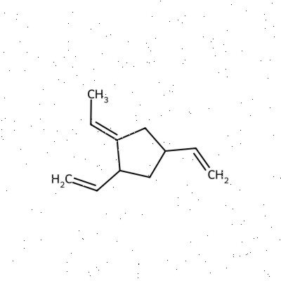 C=CC1CC(=CC)C(C=C)C1